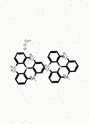 Cc1cccc(C)c1P(c1c(C)cccc1C)c1c(C)cccc1C.Cc1cccc(C)c1P(c1c(C)cccc1C)c1c(C)cccc1C.[Cl-].[Cl-].[Co+2]